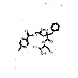 Cc1cnc(C(=O)NCC2=NOC(Cc3ccccc3)(C(=O)NC(CC(C)C)B(O)O)C2)cn1